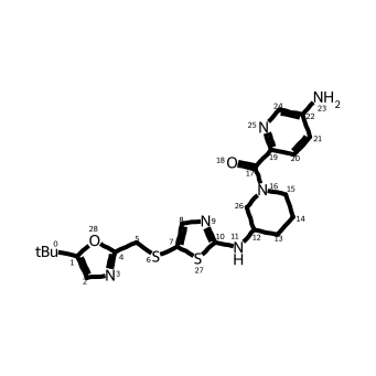 CC(C)(C)c1cnc(CSc2cnc(NC3CCCN(C(=O)c4ccc(N)cn4)C3)s2)o1